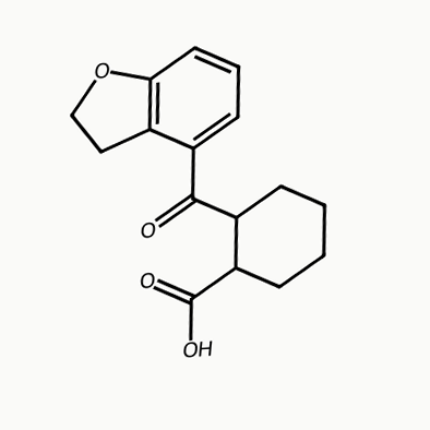 O=C(O)C1CCCCC1C(=O)c1cccc2c1CCO2